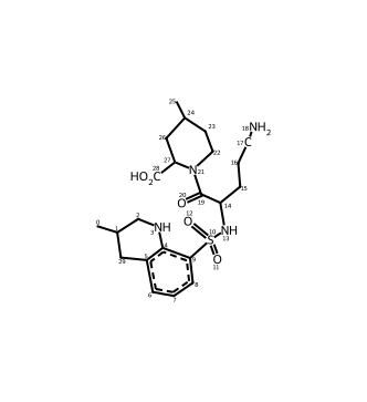 CC1CNc2c(cccc2S(=O)(=O)NC(CCCN)C(=O)N2CCC(C)CC2C(=O)O)C1